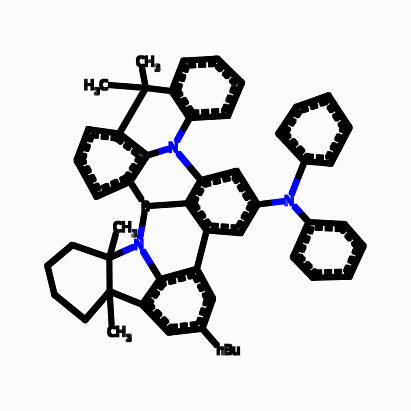 CCCCc1cc2c3c(c1)C1(C)CCCCC1(C)N3B1c3cccc4c3N(c3ccccc3C4(C)C)c3cc(N(c4ccccc4)c4ccccc4)cc-2c31